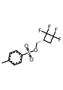 Cc1ccc(S(=O)(=O)OC[C@H]2CC(F)(F)C2(F)F)cc1